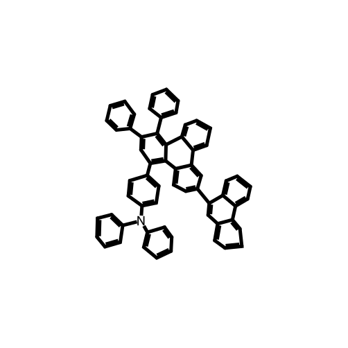 c1ccc(-c2cc(-c3ccc(N(c4ccccc4)c4ccccc4)cc3)c3c4ccc(-c5cc6ccccc6c6ccccc56)cc4c4ccccc4c3c2-c2ccccc2)cc1